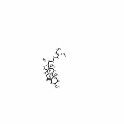 C[C@@H](CO)CCC[C@H](C)[C@H]1CCC2(I)[C@@H]3CC=C4C[C@@H](O)CC[C@]4(C)[C@@H]3CC[C@]12C